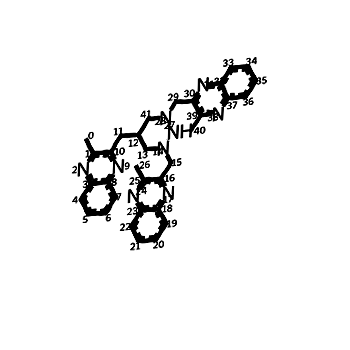 Cc1nc2ccccc2nc1CC1CN(Cc2nc3ccccc3nc2C)NN(Cc2nc3ccccc3nc2C)C1